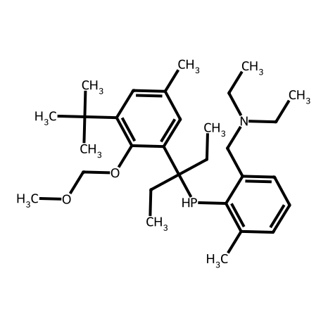 CCN(CC)Cc1cccc(C)c1PC(CC)(CC)c1cc(C)cc(C(C)(C)C)c1OCOC